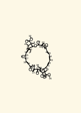 C/C=C/C(C)C(C)(C(=O)OC)C1C/C=C\C2OC2/C=C/c2nc(co2)C(=O)OC(C(C)(C(=O)OC)C(O)/C=C/C)C\C=C/C=C/C=C/c2nc(co2)C(=O)O1